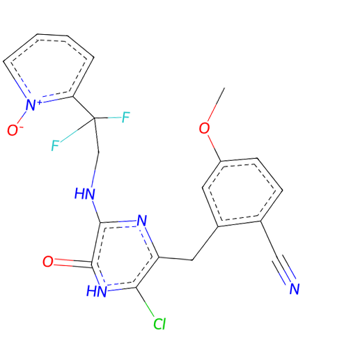 COc1ccc(C#N)c(Cc2nc(NCC(F)(F)c3cccc[n+]3[O-])c(=O)[nH]c2Cl)c1